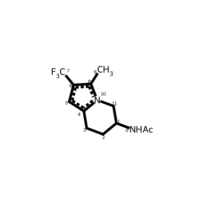 CC(=O)NC1CCc2cc(C(F)(F)F)c(C)n2C1